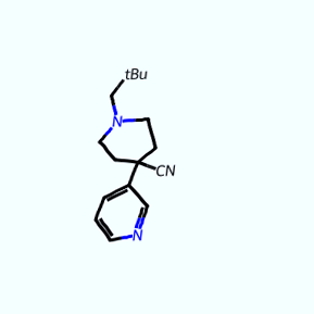 CC(C)(C)CN1CCC(C#N)(c2cccnc2)CC1